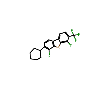 Fc1c(C2CCCCC2)ccc2c1sc1c(F)c(C(F)(F)F)ccc12